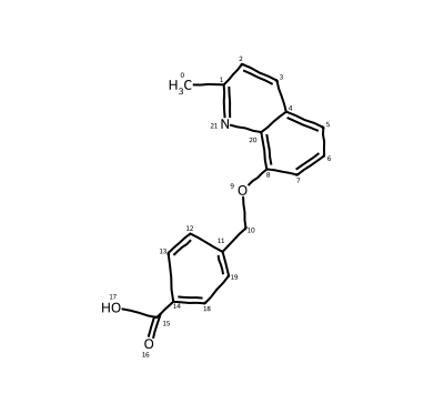 Cc1ccc2cccc(OCc3ccc(C(=O)O)cc3)c2n1